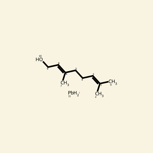 CC(C)=CCC/C(C)=C/CO.[PbH2]